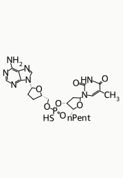 CCCCC[C@H]1O[C@@H](n2cc(C)c(=O)[nH]c2=O)C[C@H]1OP(=O)(S)OC[C@@H]1CC[C@H](n2cnc3c(N)ncnc32)O1